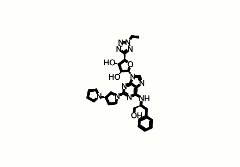 CCn1nnc([C@H]2O[C@@H](n3cnc4c(N[C@H](CO)Cc5ccccc5)nc(N5CC[C@@H](N6CCCC6)C5)nc43)[C@H](O)[C@@H]2O)n1